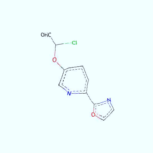 O=CC(Cl)Oc1ccc(-c2ncco2)nc1